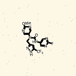 COc1ncc(N(Cc2cc(C(F)(F)F)[nH]n2)C(=O)Nc2cnc(F)nc2)cn1